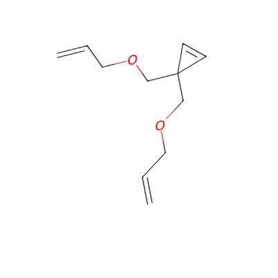 C=CCOCC1(COCC=C)C=C1